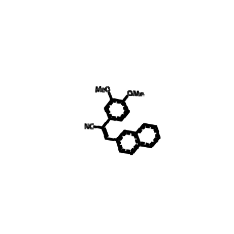 COc1ccc(C(C#N)=Cc2ccc3ccccc3c2)cc1OC